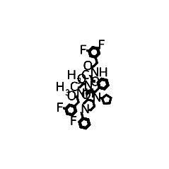 C[C@H](NC(=O)Cc1cc(F)cc(F)c1)C(=O)N(C(=O)[C@H](C)NC(=O)Cc1cc(F)cc(F)c1)C(=O)[C@H](c1ccccc1)N(C1CCCC1)C1CCN(Cc2ccccc2)CC1